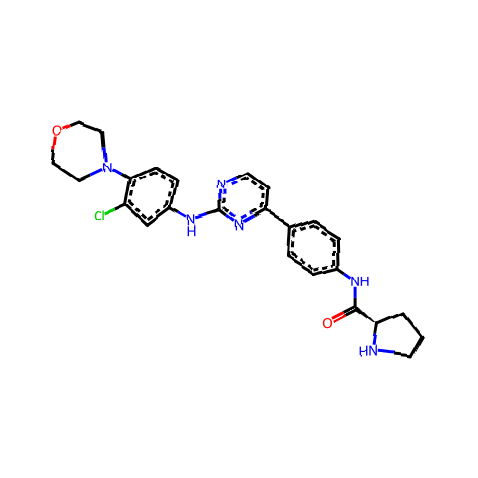 O=C(Nc1ccc(-c2ccnc(Nc3ccc(N4CCOCC4)c(Cl)c3)n2)cc1)[C@H]1CCCN1